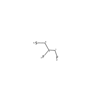 FCC(F)C[S]